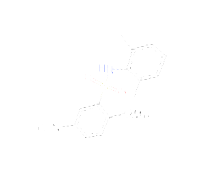 COc1ccc([N+](=O)[O-])cc1S(=O)(=O)Nc1c(C)cccc1C